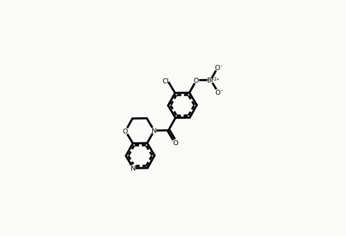 O=C(c1ccc(O[Br+2]([O-])[O-])c(Cl)c1)N1CCOc2cnccc21